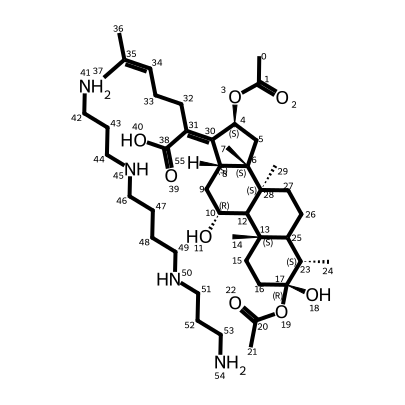 CC(=O)O[C@H]1C[C@@]2(C)[C@H](C[C@@H](O)C3[C@@]4(C)CC[C@@](O)(OC(C)=O)[C@@H](C)C4CC[C@@]32C)C1=C(CCC=C(C)C)C(=O)O.NCCCNCCCCNCCCN